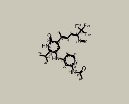 C=N/C(=C\C=C(/C)c1cc(Nc2ccnc(NC(C)=O)c2)c(C(C)C)[nH]c1=O)C(F)(F)F